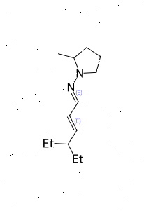 CCC(/C=C/C=N/N1CCCC1C)CC